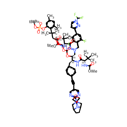 COC(=O)N[C@H](C(=O)N[C@@H](Cc1ccc(C#Cc2cnc(N3CC4CCC(C3)N4C3COC3)nc2)cc1)[C@H](CN(Cc1c(F)cc(-c2ccn(C(F)F)n2)cc1F)NC(=O)[C@@H](NC(=O)OC)C(C)(C)C(F)(F)F)OC(=O)OCOC(=O)CC(C)(C)c1c(C)cc(C)cc1OP(=O)(OC(C)(C)C)OC(C)(C)C)C(C)(C)C(F)(F)F